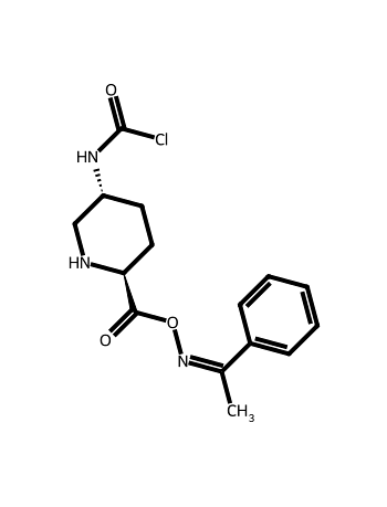 CC(=NOC(=O)[C@@H]1CC[C@@H](NC(=O)Cl)CN1)c1ccccc1